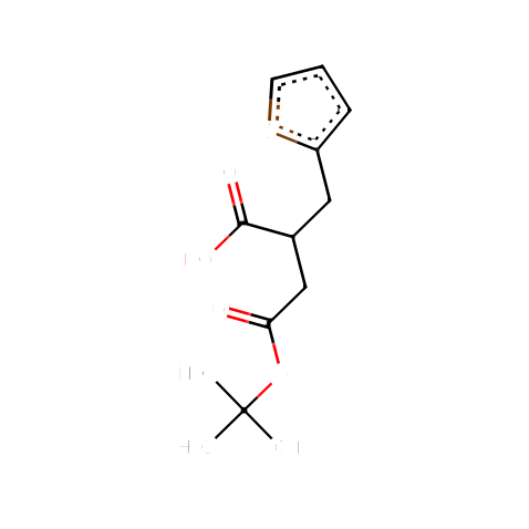 CC(C)(C)OC(=O)CC(Cc1cccs1)C(=O)O